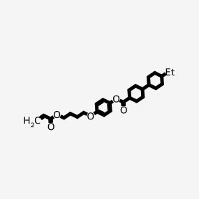 C=CC(=O)OCCCCOc1ccc(OC(=O)C2CCC(C3CCC(CC)CC3)CC2)cc1